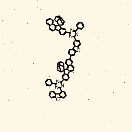 c1ccc(-c2nc(-c3ccc4c(c3)C3(c5c-4ccc4ccccc54)C4CC5CC(C4)CC3C5)nc(-c3ccc4oc5cc(-c6ccc7c8c(ccc7c6)-c6ccc(-c7nc(-c9ccccc9)nc(-c9cccc%10oc%11ccccc%11c9%10)n7)cc6C86C7CC8CC(C7)CC6C8)ccc5c4c3)n2)cc1